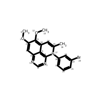 COc1cc2ncnc3c2c(c1OC)C=C(C)N3c1cccc(Br)c1